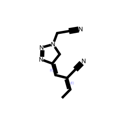 C/C=C(C#N)\C=C1/CN(CC#N)N=N1